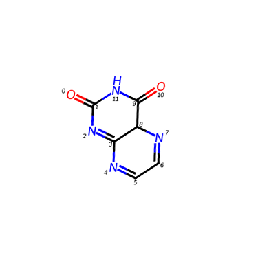 O=C1N=C2N=CC=NC2C(=O)N1